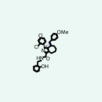 COc1ccc(/C=C2\CCCCc3c(C(=O)NCCc4ccccc4O)nn(-c4ccc(Cl)cc4Cl)c32)cc1